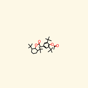 CC(=O)Oc1c(C(C)(C)C)cc(CC(=O)OC2C(C(C)(C)C)CCCC2C(C)(C)C)cc1C(C)(C)C